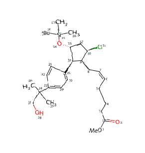 COC(=O)CCC/C=C\CC1[C@H](Cl)C[C@@H](O[Si](C)(C)C(C)(C)C)[C@@H]1c1ccc(C(C)(C)CO)cc1